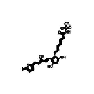 O=C(CCCC=CC[C@@H]1[C@@H](C=CC(O)CCc2ccc(I)s2)[C@H](O)C[C@@H]1O)NS(=O)(=O)C(F)(F)F